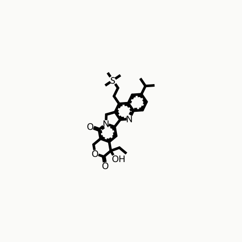 CCC1(O)C(=O)OCc2c1cc1n(c2=O)Cc2c-1nc1ccc(C(C)C)cc1c2CCS(C)(C)C